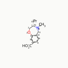 CC(C)[C@H]1COc2cc(C(=O)O)ccc2CN1C